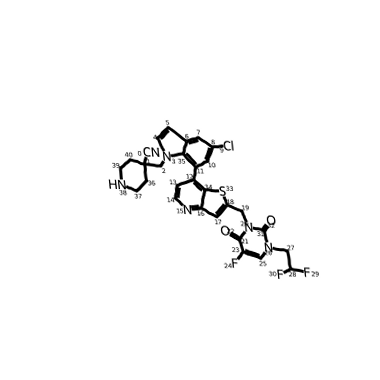 N#CC1(Cn2ccc3cc(Cl)cc(-c4ccnc5cc(Cn6c(=O)c(F)cn(CC(F)F)c6=O)sc45)c32)CCNCC1